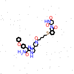 NC(=O)c1c(-c2ccc(Oc3ccccc3)cc2)nn2c1NCCC2C1CCN(C(=O)CCCCCSc2cccc3c2CN(C2CCC(=O)NC2=O)C3=O)CC1